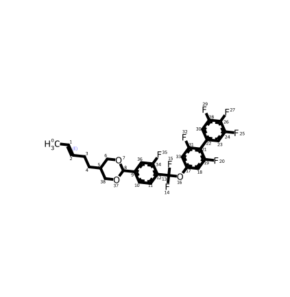 C/C=C/CCC1COC(c2ccc(C(F)(F)Oc3cc(F)c(-c4cc(F)c(F)c(F)c4)c(F)c3)c(F)c2)OC1